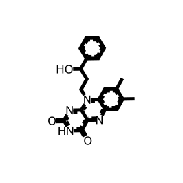 Cc1cc2nc3c(=O)[nH]c(=O)nc-3n(CCC(O)c3ccccc3)c2cc1C